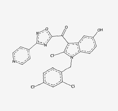 O=C(c1nc(-c2ccncc2)no1)c1c(Cl)n(Cc2ccc(Cl)cc2Cl)c2ccc(O)cc12